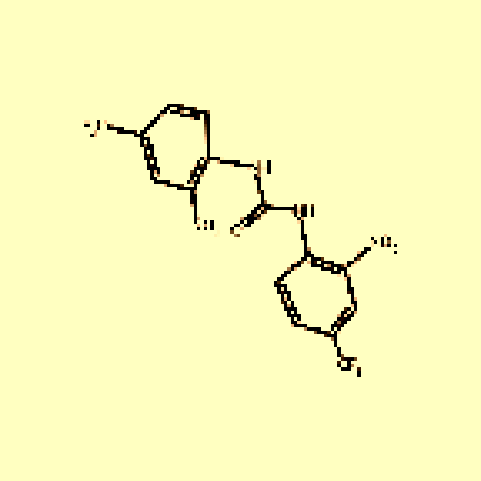 O=C(Nc1ccc(C(F)(F)F)cc1[N+](=O)[O-])Nc1ccc(C(F)(F)F)cc1[N+](=O)[O-]